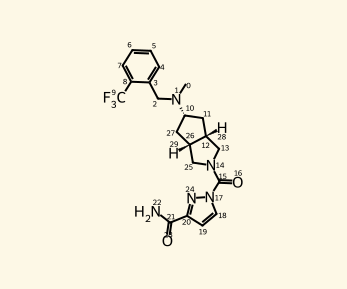 CN(Cc1ccccc1C(F)(F)F)[C@@H]1C[C@@H]2CN(C(=O)n3ccc(C(N)=O)n3)C[C@@H]2C1